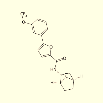 O=C(N[C@@H]1C[C@H]2CC[C@@H]1N2)c1ccc(-c2cccc(OC(F)(F)F)c2)o1